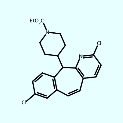 CCOC(=O)N1CCC(C2c3ccc(Cl)cc3C=Cc3ccc(Cl)nc32)CC1